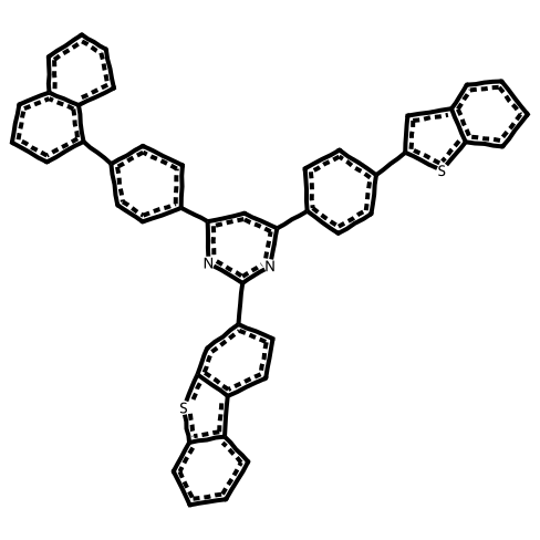 c1ccc2sc(-c3ccc(-c4cc(-c5ccc(-c6cccc7ccccc67)cc5)nc(-c5ccc6c(c5)sc5ccccc56)n4)cc3)cc2c1